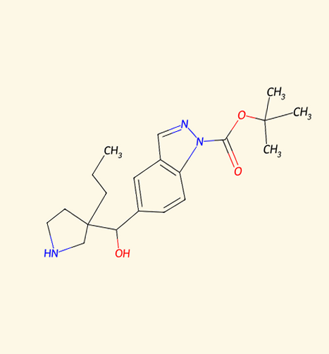 CCCC1(C(O)c2ccc3c(cnn3C(=O)OC(C)(C)C)c2)CCNC1